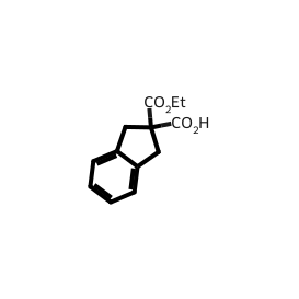 CCOC(=O)C1(C(=O)O)Cc2ccccc2C1